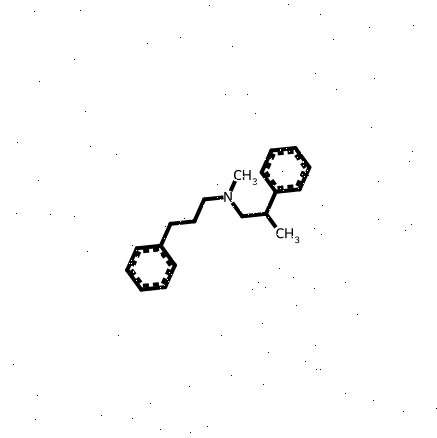 CC(CN(C)CCCc1ccccc1)c1ccccc1